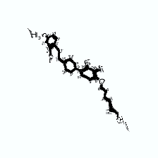 CCCCCCCOc1ccc(C2CCC(CCc3ccc(C)cc3F)CC2)c(F)c1F